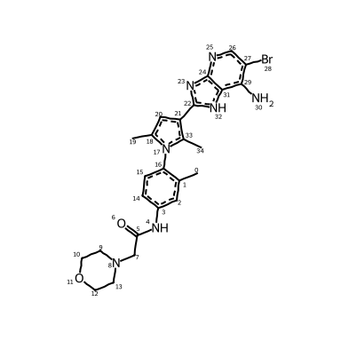 Cc1cc(NC(=O)CN2CCOCC2)ccc1-n1c(C)cc(-c2nc3ncc(Br)c(N)c3[nH]2)c1C